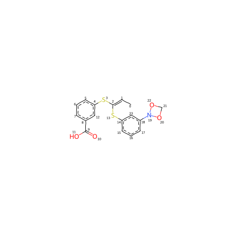 C/C=C(/Sc1cccc(C(=O)O)c1)Sc1cccc(N2OCO2)c1